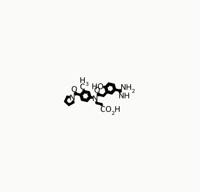 Cc1cc(N(CCC(=O)O)C(=O)Cc2cc(C(=N)N)ccc2O)ccc1C(=O)N1CCCC1